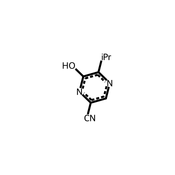 CC(C)c1ncc(C#N)nc1O